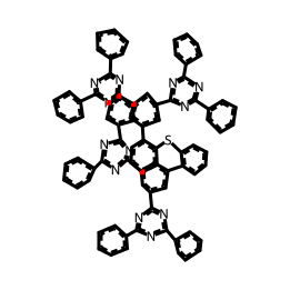 c1ccc(-c2nc(-c3ccccc3)nc(-c3cc(-c4nc(-c5ccccc5)nc(-c5ccccc5)n4)cc(-c4ccccc4Sc4ccccc4-c4cc(-c5nc(-c6ccccc6)nc(-c6ccccc6)n5)cc(-c5nc(-c6ccccc6)nc(-c6ccccc6)n5)c4)c3)n2)cc1